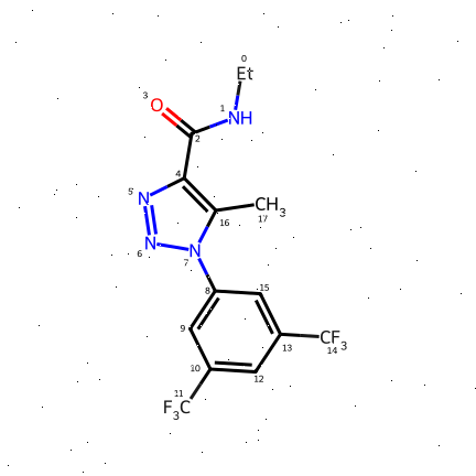 CCNC(=O)c1nnn(-c2cc(C(F)(F)F)cc(C(F)(F)F)c2)c1C